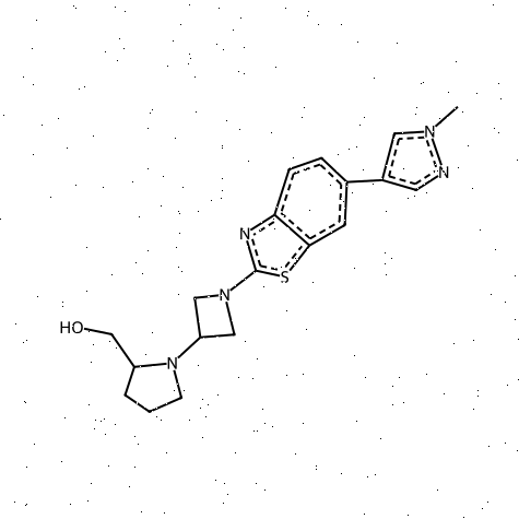 Cn1cc(-c2ccc3nc(N4CC(N5CCCC5CO)C4)sc3c2)cn1